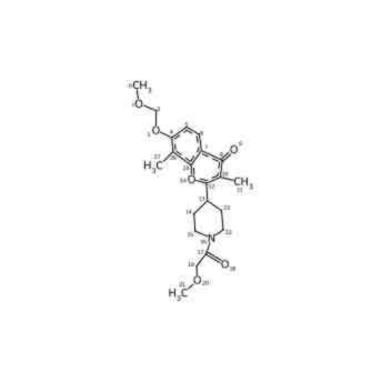 COCOc1ccc2c(=O)c(C)c(C3CCN(C(=O)COC)CC3)oc2c1C